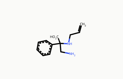 C=CCNC(CN)(C(=O)O)c1ccccc1